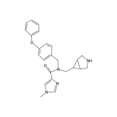 Cn1cnc(C(=O)N(Cc2ccc(Oc3ccccc3)cc2)CC2C3CNCC32)c1